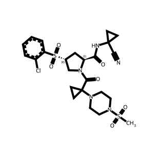 CS(=O)(=O)N1CCN(C2(C(=O)N3C[C@H](S(=O)(=O)c4ccccc4Cl)C[C@H]3C(=O)NC3(C#N)CC3)CC2)CC1